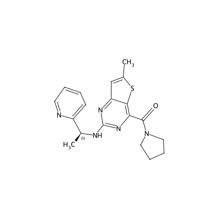 Cc1cc2nc(N[C@@H](C)c3ccccn3)nc(C(=O)N3CCCC3)c2s1